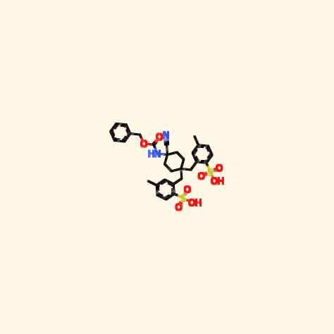 Cc1ccc(S(=O)(=O)O)c(CC2(Cc3cc(C)ccc3S(=O)(=O)O)CCC(C#N)(NC(=O)OCc3ccccc3)CC2)c1